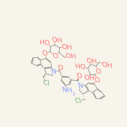 Nc1cc(C(=O)N2C[C@@H](CCl)c3c2cc(OC2OC(CO)C(O)C(O)C2O)c2ccccc32)cc(C(=O)N2C[C@@H](CCl)c3c2cc(OC2OC(CO)C(O)C(O)C2O)c2ccccc32)c1